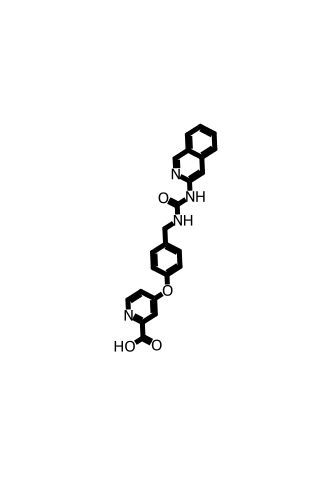 O=C(NCc1ccc(Oc2ccnc(C(=O)O)c2)cc1)Nc1cc2ccccc2cn1